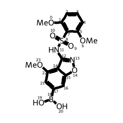 COc1cccc(OC)c1S(=O)(=O)Nc1noc2cc(B(O)O)cc(OC)c12